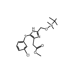 COC(=O)Cc1nc(CO[Si](C)(C)C(C)(C)C)[nH]c1Sc1cccc(Cl)c1